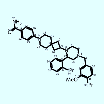 COc1cc(CN2CCN(C3CC4(CCN(c5ccc(C(N)=O)cc5)CC4)C3)C(c3ccccc3C(C)C)C2)ccc1C(C)C